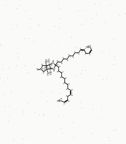 CCCC/C=C\C/C=C\CCCCCCCCC1(CCCCCCCC/C=C\C/C=C\CCCC)O[C@@H]2[C@H]3CN(C)C[C@H]3[C@@H]2O1